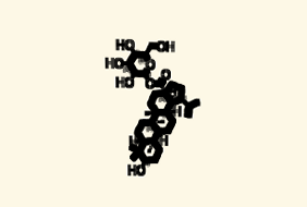 C=C(C)[C@@H]1CC[C@]2(C(=O)O[C@@H]3O[C@H](CO)[C@@H](O)[C@H](O)[C@H]3O)CC[C@]3(C)[C@H](CC[C@@H]4[C@@]5(C)CC[C@H](O)C(C)(C)[C@@H]5CC[C@]43C)[C@@H]12